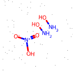 NO.NO.O=[N+]([O-])O